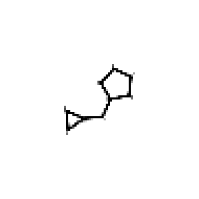 C1CCC(CC2CC2)C1